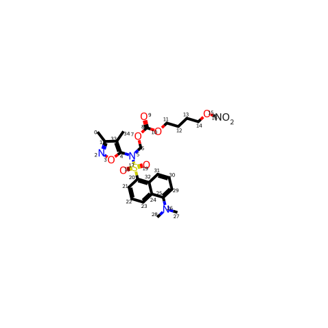 Cc1noc(N(COC(=O)OCCCCO[N+](=O)[O-])S(=O)(=O)c2cccc3c(N(C)C)cccc23)c1C